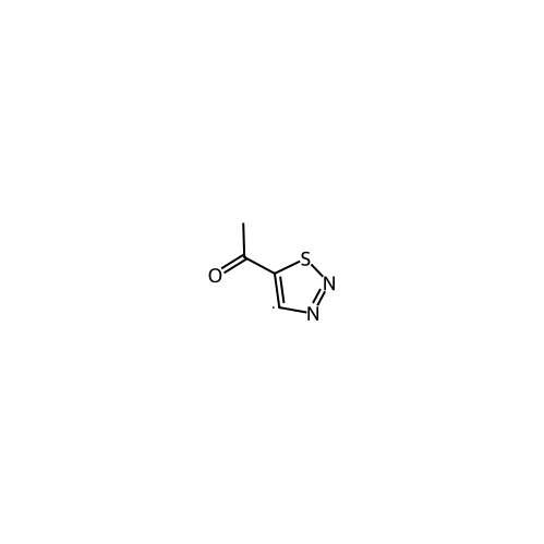 CC(=O)c1[c]nns1